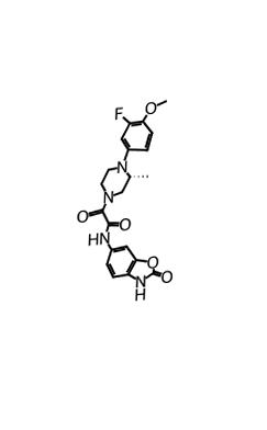 COc1ccc(N2CCN(C(=O)C(=O)Nc3ccc4[nH]c(=O)oc4c3)C[C@H]2C)cc1F